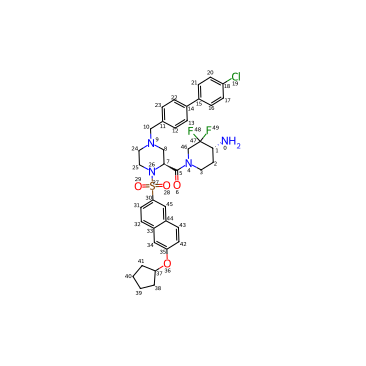 N[C@@H]1CCN(C(=O)[C@@H]2CN(Cc3ccc(-c4ccc(Cl)cc4)cc3)CCN2S(=O)(=O)c2ccc3cc(OC4CCCC4)ccc3c2)CC1(F)F